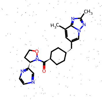 Cc1nc2c(C)cc(C[C@H]3CC[C@H](C(=O)N4OCC[C@H]4c4cnccn4)CC3)cn2n1